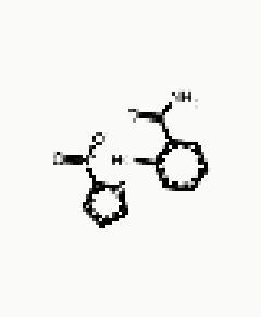 NC(=O)c1ccccc1O.O=[N+]([O-])c1cccs1